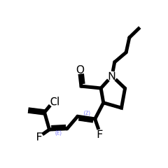 C=C(Cl)/C(F)=C\C=C(/F)C1CCN(CCCC)C1C=O